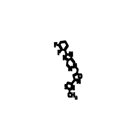 Cc1nc(-c2cc(Cn3cc4nc(-c5cccc(F)c5F)nc-4cn3)on2)cs1